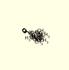 C[Si](C)(C)O[Si](C)(C)O[Si](C)(C)O[Si](C)(C)O[Si](C)(C)O[Si](C)(C)CCC1CC2C=CC1C2